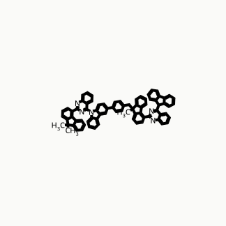 CC1(C)c2ccccc2-c2c(-c3nc(-n4c5ccccc5c5cc(-c6ccc(CC7(C)c8ccccc8-c8c(-c9nc(C%10c%11ccccc%11-c%11ccccc%11%10)c%10ccccc%10n9)cccc87)cc6)ccc54)c4ccccc4n3)cccc21